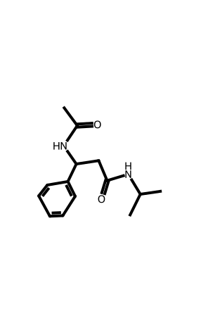 CC(=O)NC(CC(=O)NC(C)C)c1ccccc1